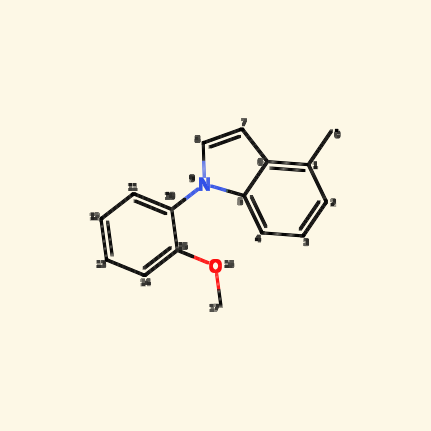 [CH2]c1cccc2c1ccn2-c1ccccc1OC